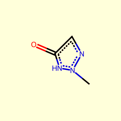 Cn1ncc(=O)[nH]1